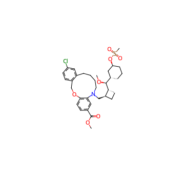 COC(=O)c1ccc2c(c1)N(C[C@@H]1CC[C@H]1[C@@H](OC)[C@H]1CCC[C@H](OS(C)(=O)=O)C1)CCCCc1cc(Cl)ccc1CO2